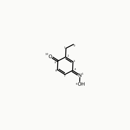 CCC1=CC(=NO)C=CC1=O